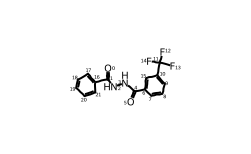 O=C(NNC(=O)c1cccc(C(F)(F)F)c1)c1ccccc1